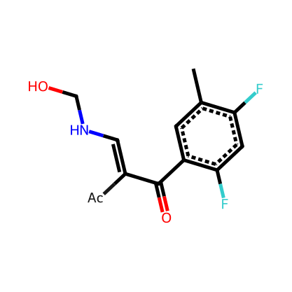 CC(=O)C(=CNCO)C(=O)c1cc(C)c(F)cc1F